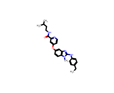 CCc1ccc(Nc2nc3cc(Oc4ccnc(C(=O)NCCC(C)C)c4)ccc3n2C)cc1